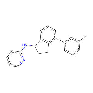 Cc1cccc(-c2cccc3c2CCC3Nc2ccccn2)c1